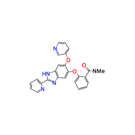 CNC(=O)c1ccccc1Oc1cc2nc(-c3ccccn3)[nH]c2cc1Oc1cccnc1